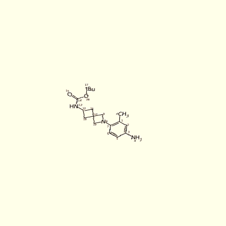 Cc1cc(N)ccc1N1CC2(CC(NC(=O)OC(C)(C)C)C2)C1